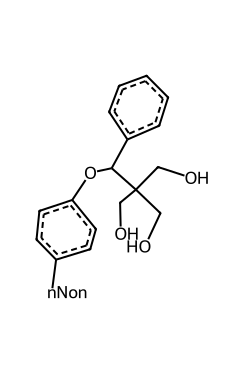 CCCCCCCCCc1ccc(OC(c2ccccc2)C(CO)(CO)CO)cc1